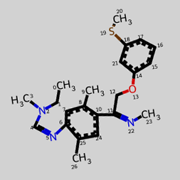 CCN(C)/C=N\c1cc(C)c(/C(COc2cccc(SC)c2)=N/C)cc1C